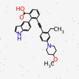 CCc1cc(N2CCC(OC)CC2)ccc1C#Cc1cccc(C(=O)O)c1-c1ccc2[nH]ccc2c1